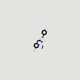 CC(C)COc1ccc(C(=O)NC(=Cc2ccc(SC(F)(F)F)cc2)C(=O)NCCO)cc1